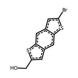 OCc1cc2cc3sc(Br)cc3cc2s1